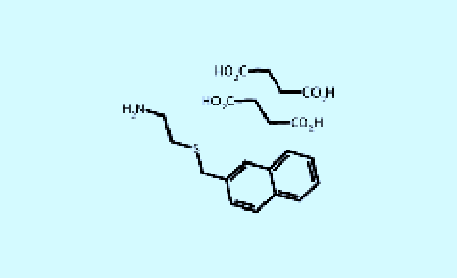 NCCSCc1ccc2ccccc2c1.O=C(O)CCC(=O)O.O=C(O)CCC(=O)O